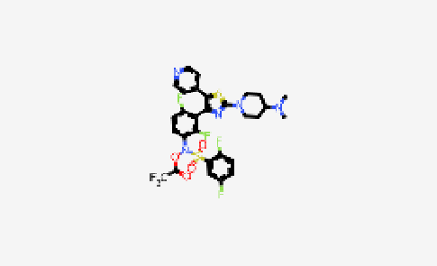 CN(C)C1CCN(c2nc(-c3c(F)ccc(N(OC(=O)C(F)(F)F)S(=O)(=O)c4cc(F)ccc4F)c3F)c(-c3ccncc3)s2)CC1